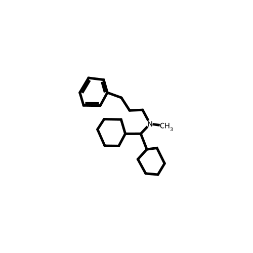 CN(CCCc1ccccc1)C(C1CCCCC1)C1CCCCC1